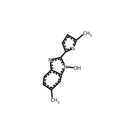 Cc1ccc2nc(-c3ccc(C)s3)n(O)c2c1